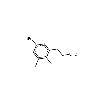 Cc1cc(C(C)(C)C)cc(CCC=O)c1C